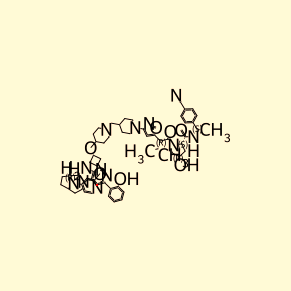 CC(C)[C@@H](C(=O)N1C[C@H](O)C[C@H]1C(=O)N[C@@H](C)c1ccc(C#N)cc1)c1cc(N2CCC(CN3CCC(OC4CC(Oc5cc(N6C7CC[C@@H]6CN(c6cc(-c8ccccc8O)nnc6N)CC7)ccn5)C4)CC3)CC2)no1